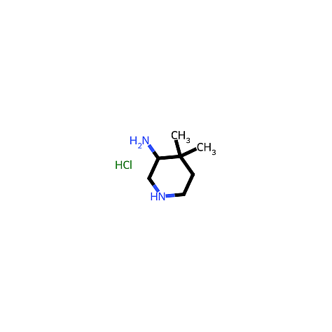 CC1(C)CCNCC1N.Cl